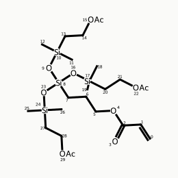 C=CC(=O)OCCC[Si](O[Si](C)(C)CCOC(C)=O)(O[Si](C)(C)CCOC(C)=O)O[Si](C)(C)CCOC(C)=O